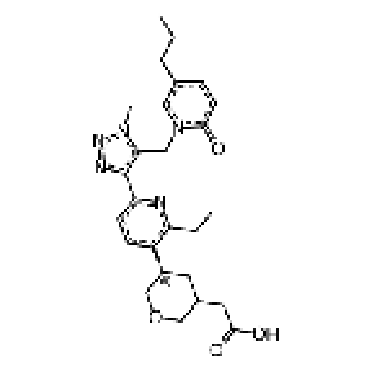 CCCc1ccc(=O)n(Cc2c(-c3ccc([C@@H]4COCC(CC(=O)O)C4)c(CC)n3)nnn2C)c1